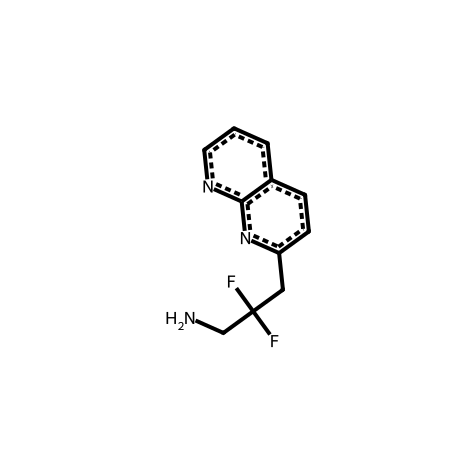 NCC(F)(F)Cc1ccc2cccnc2n1